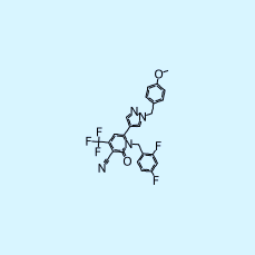 COc1ccc(Cn2cc(-c3cc(C(F)(F)F)c(C#N)c(=O)n3Cc3ccc(F)cc3F)cn2)cc1